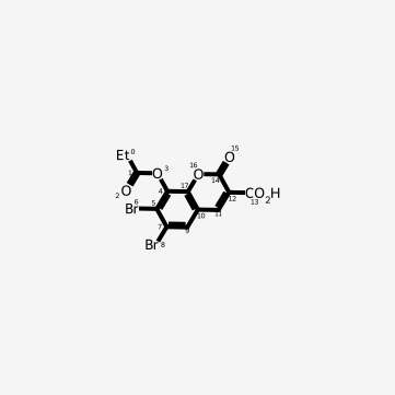 CCC(=O)Oc1c(Br)c(Br)cc2cc(C(=O)O)c(=O)oc12